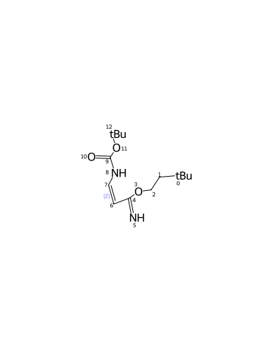 CC(C)(C)CCOC(=N)/C=C\NC(=O)OC(C)(C)C